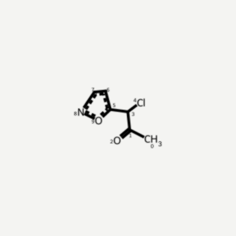 CC(=O)C(Cl)c1ccno1